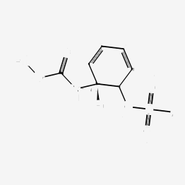 CC[C@@]1(NC(=O)OC(C)(C)C)C=CC=CC1OS(C)(=O)=O